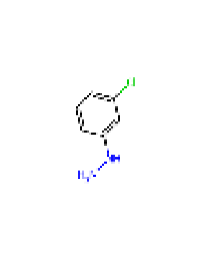 NNc1[c]ccc(Cl)c1